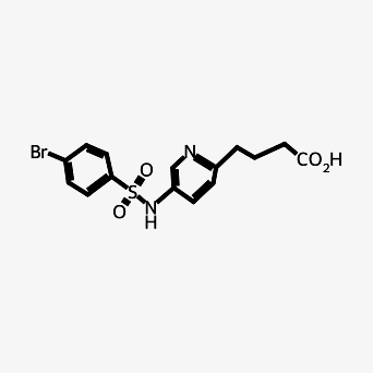 O=C(O)CCCc1ccc(NS(=O)(=O)c2ccc(Br)cc2)cn1